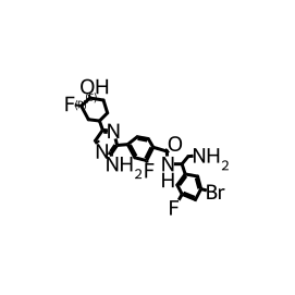 NCC(NC(=O)c1ccc(-c2nc(C3CC[C@H](O)[C@H](F)C3)cnc2N)cc1F)c1cc(F)cc(Br)c1